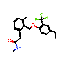 CCc1ccc(OCc2c(C)cccc2CC(=O)NC)c(C(F)(F)F)c1